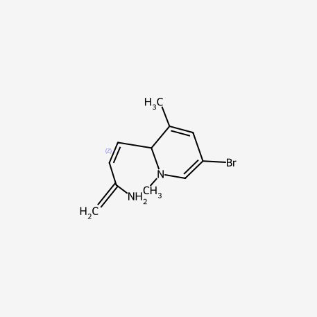 C=C(N)/C=C\C1C(C)=CC(Br)=CN1C